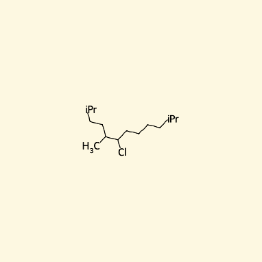 CC(C)CCCCC(Cl)C(C)CCC(C)C